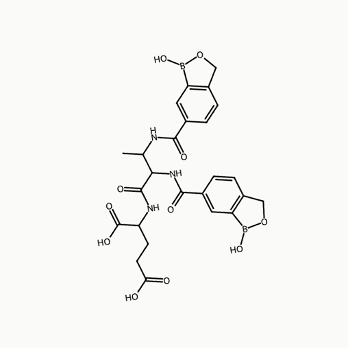 CC(NC(=O)c1ccc2c(c1)B(O)OC2)C(NC(=O)c1ccc2c(c1)B(O)OC2)C(=O)NC(CCC(=O)O)C(=O)O